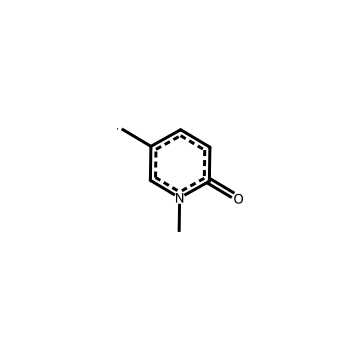 [CH2]c1ccc(=O)n(C)c1